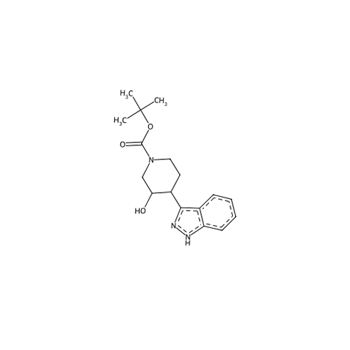 CC(C)(C)OC(=O)N1CCC(c2n[nH]c3ccccc23)C(O)C1